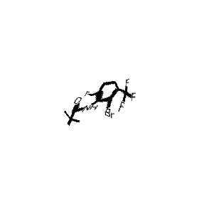 CC(C)(C)C(=O)Nc1c(F)ccc(C(F)(F)F)c1Br